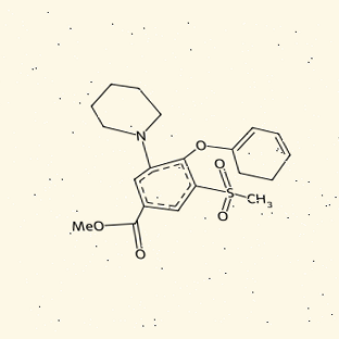 COC(=O)c1cc(N2CCCCC2)c(OC2=CC=CCC2)c(S(C)(=O)=O)c1